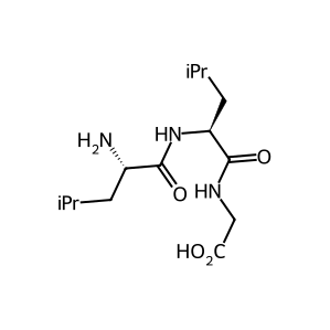 CC(C)C[C@H](NC(=O)[C@@H](N)CC(C)C)C(=O)NCC(=O)O